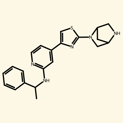 CC(Nc1cc(-c2csc(N3CC4CC3CN4)n2)ccn1)c1ccccc1